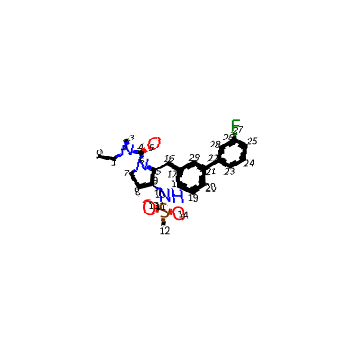 CCN(C)C(=O)N1CC[C@H](NS(C)(=O)=O)[C@@H]1Cc1cccc(-c2cccc(F)c2)c1